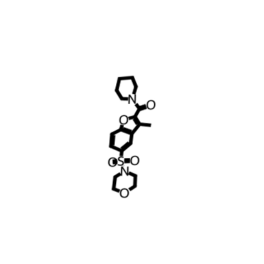 Cc1c(C(=O)N2CCCCC2)oc2ccc(S(=O)(=O)N3CCOCC3)cc12